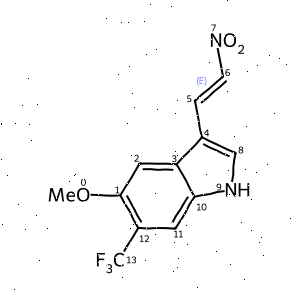 COc1cc2c(/C=C/[N+](=O)[O-])c[nH]c2cc1C(F)(F)F